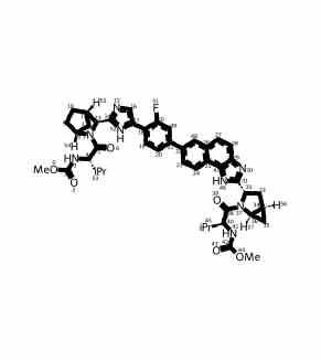 COC(=O)N[C@H](C(=O)N1[C@@H]2CC[C@@H](C2)[C@H]1c1ncc(-c2ccc(-c3ccc4c(ccc5nc([C@@H]6C[C@H]7C[C@H]7N6C(=O)[C@@H](NC(=O)OC)C(C)C)[nH]c54)c3)cc2F)[nH]1)C(C)C